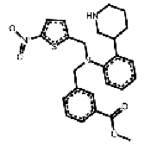 COC(=O)c1cccc(CN(Cc2ccc([N+](=O)[O-])s2)c2ccccc2C2CCCNC2)c1